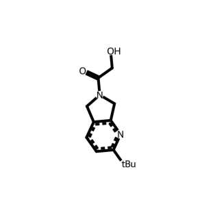 CC(C)(C)c1ccc2c(n1)CN(C(=O)CO)C2